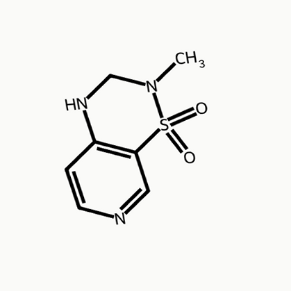 CN1CNc2ccncc2S1(=O)=O